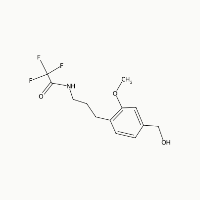 COc1cc(CO)ccc1CCCNC(=O)C(F)(F)F